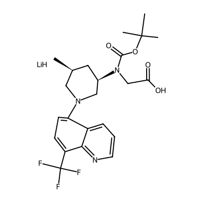 C[C@H]1C[C@@H](N(CC(=O)O)C(=O)OC(C)(C)C)CN(c2ccc(C(F)(F)F)c3ncccc23)C1.[LiH]